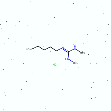 CCCCCCCCCCCCCCN=C(NCCCC)NCCCC.Cl